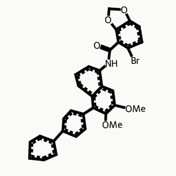 COc1cc2c(NC(=O)c3c(Br)ccc4c3OCO4)cccc2c(-c2ccc(-c3ccccc3)cc2)c1OC